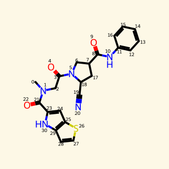 CN(CC(=O)N1CC(C(=O)Nc2ccccc2)CC1C#N)C(=O)c1cc2sccc2[nH]1